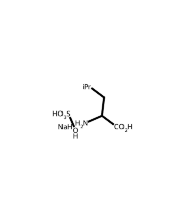 CC(C)CC(N)C(=O)O.O=S(=O)(O)O.[NaH]